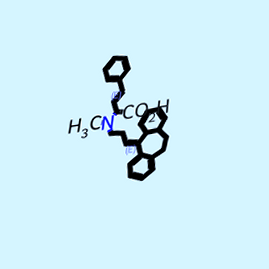 CN(CC/C=C1/c2ccccc2CCC2C=CC=CC12)C(/C=C/c1ccccc1)C(=O)O